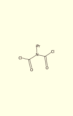 CC(C)N(C(=O)Cl)C(=O)Cl